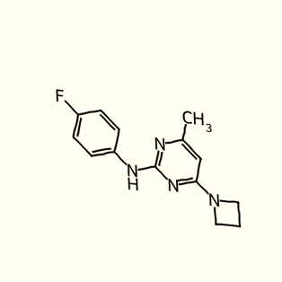 Cc1cc(N2CCC2)nc(Nc2ccc(F)cc2)n1